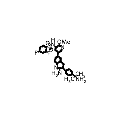 COc1ncc(-c2ccc3nc(N)c(-c4ccc(C(C)(C)N)cc4)cc3c2)cc1NS(=O)(=O)c1ccc(F)cc1F